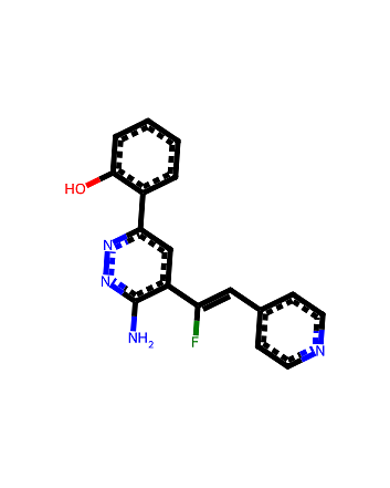 Nc1nnc(-c2ccccc2O)cc1/C(F)=C/c1ccncc1